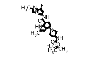 Cc1cn2cc(NC(=O)c3ccc(N4CCC(NC(=O)OC(C)(C)C)CC4)c4cc(C)[nH]c34)cc(F)c2n1